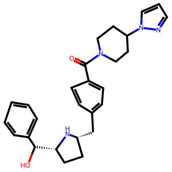 O=C(c1ccc(C[C@@H]2CC[C@H](C(O)c3ccccc3)N2)cc1)N1CCC(n2cccn2)CC1